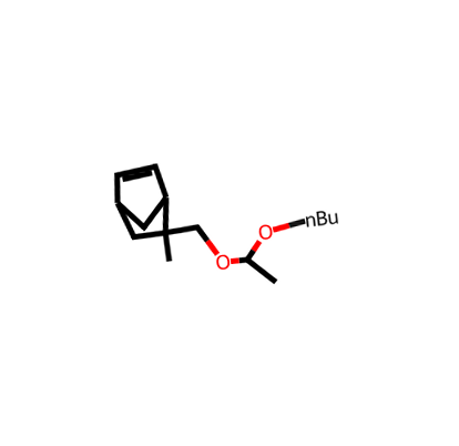 CCCCOC(C)OCC1(C)CC2C=CC1C2